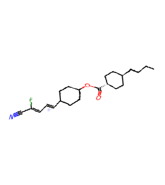 CCCC[C@H]1CC[C@H](C(=O)OC2CCC(/C=C/C=C(F)C#N)CC2)CC1